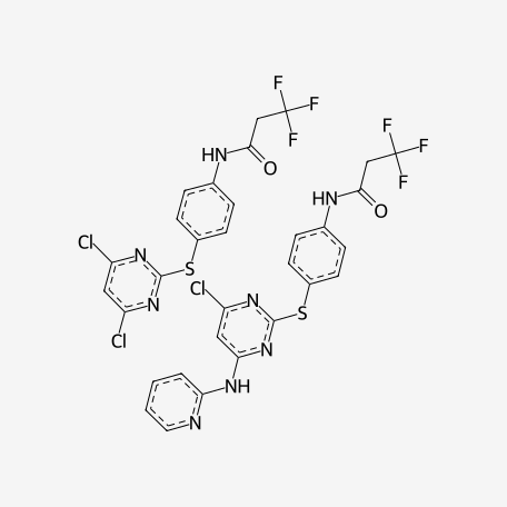 O=C(CC(F)(F)F)Nc1ccc(Sc2nc(Cl)cc(Cl)n2)cc1.O=C(CC(F)(F)F)Nc1ccc(Sc2nc(Cl)cc(Nc3ccccn3)n2)cc1